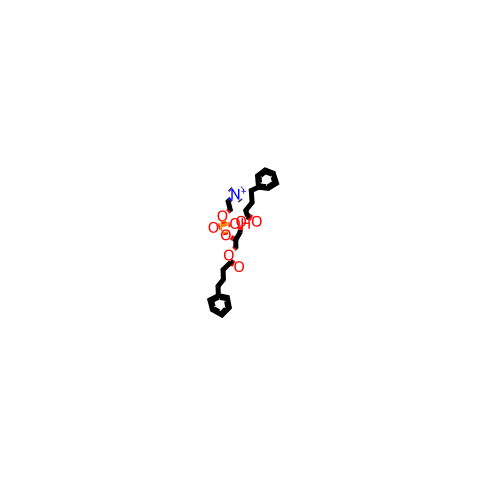 C[N+](C)(C)CCOP(=O)(O)OC(COC(=O)CCCc1ccccc1)COC(=O)CCCc1ccccc1